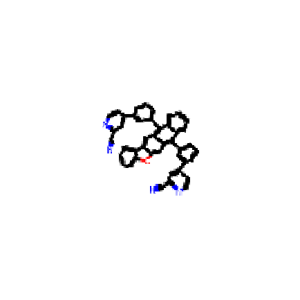 N#Cc1cc(-c2cccc(-c3c4ccccc4c(-c4cccc(-c5ccnc(C#N)c5)c4)c4cc5c(cc34)oc3ccccc35)c2)ccn1